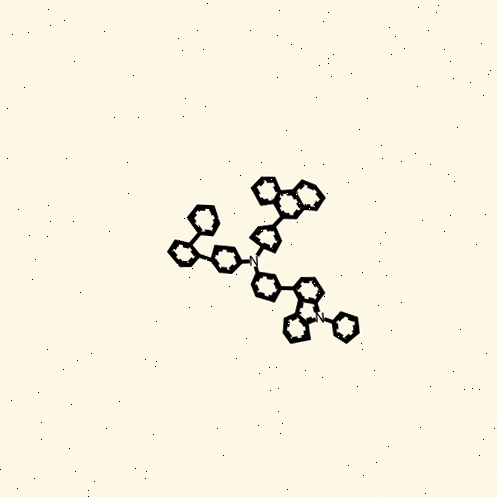 c1ccc(-c2ccccc2-c2ccc(N(c3ccc(-c4cc5ccccc5c5ccccc45)cc3)c3cccc(-c4cccc5c4c4ccccc4n5-c4ccccc4)c3)cc2)cc1